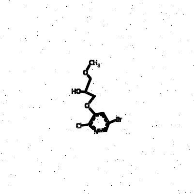 COCC(O)COc1cc(Br)cnc1Cl